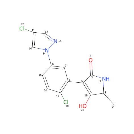 CC1NC(=O)C(c2cc(-n3cc(Cl)cn3)ccc2Cl)=C1O